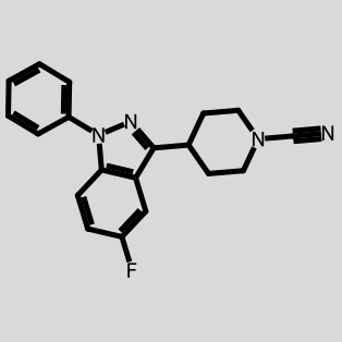 N#CN1CCC(c2nn(-c3ccccc3)c3ccc(F)cc23)CC1